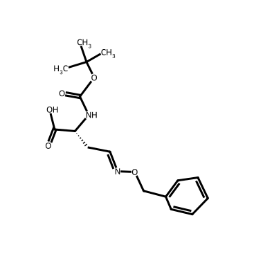 CC(C)(C)OC(=O)N[C@H](C/C=N/OCc1ccccc1)C(=O)O